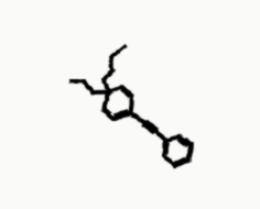 CCCCC1(CCC)C=CC(C#Cc2ccccc2)=CC1